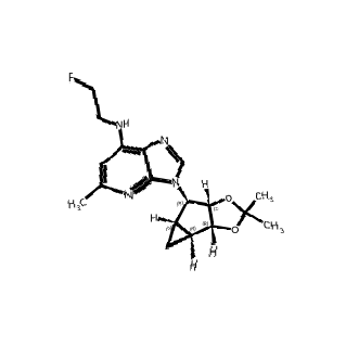 Cc1cc(NCCF)c2ncn([C@@H]3[C@H]4C[C@H]4[C@H]4OC(C)(C)O[C@H]43)c2n1